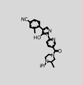 Cc1cc(C#N)ccc1-c1cnn(-c2ccc(C(=O)N3CCN(C(C)C)C(C)C3)cn2)c1O